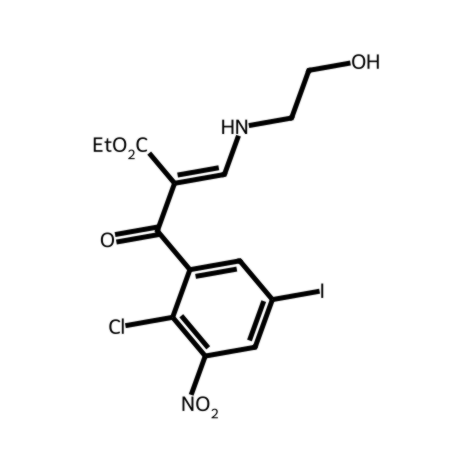 CCOC(=O)C(=CNCCO)C(=O)c1cc(I)cc([N+](=O)[O-])c1Cl